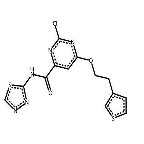 O=C(Nc1nncs1)c1cc(OCCc2ccsc2)nc(Cl)n1